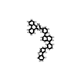 c1cc(-c2ccc3sc4ccccc4c3c2)cc(-c2cccc3c(-c4cccc(-c5cnc6c7ccccc7c7ccccc7c6n5)c4)cccc23)c1